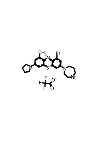 CCc1cc(N2CCCNCC2)cc2[s+]c3cc(N4CCCC4)cc(C)c3nc12.O=C([O-])C(F)(F)F